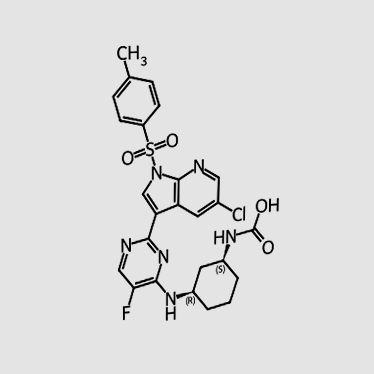 Cc1ccc(S(=O)(=O)n2cc(-c3ncc(F)c(N[C@@H]4CCC[C@H](NC(=O)O)C4)n3)c3cc(Cl)cnc32)cc1